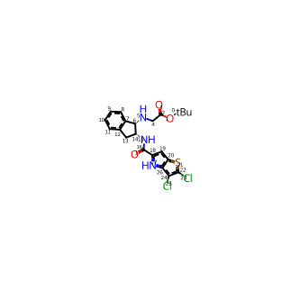 CC(C)(C)OC(=O)CN[C@H]1c2ccccc2C[C@H]1NC(=O)c1cc2sc(Cl)c(Cl)c2[nH]1